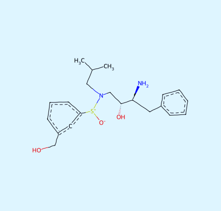 CC(C)CN(C[C@@H](O)[C@@H](N)Cc1ccccc1)[S+]([O-])c1cccc(CO)c1